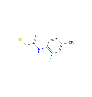 O=C(CS)Nc1ccc(C(F)(F)F)cc1Cl